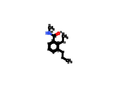 CCCc1cccc(C(=O)NC)c1CC